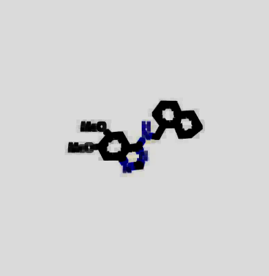 COc1cc2ncnc(NCc3cccc4ccccc34)c2cc1OC